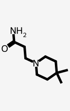 CC1(C)CCN(CCC(N)=O)CC1